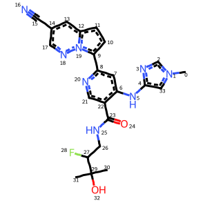 Cn1cnc(Nc2cc(-c3ccc4cc(C#N)cnn34)ncc2C(=O)NCC(F)C(C)(C)O)c1